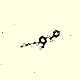 COCCOCOc1ccc(OC(=O)c2ccccc2)cc1C=O